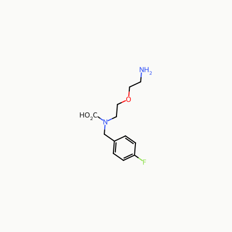 NCCOCCN(Cc1ccc(F)cc1)C(=O)O